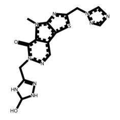 Cn1c2nc(Cn3cncn3)sc2c2cnn(CC3=NNC(O)N3)c(=O)c21